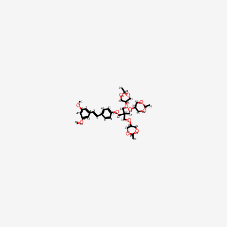 COc1cc(/C=C/c2ccc(OCC(COC3COC(C)OC3)(COC3COC(C)OC3)COC3COC(C)OC3)cc2)cc(OC)c1